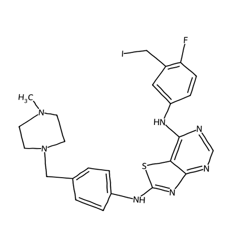 CN1CCN(Cc2ccc(Nc3nc4ncnc(Nc5ccc(F)c(CI)c5)c4s3)cc2)CC1